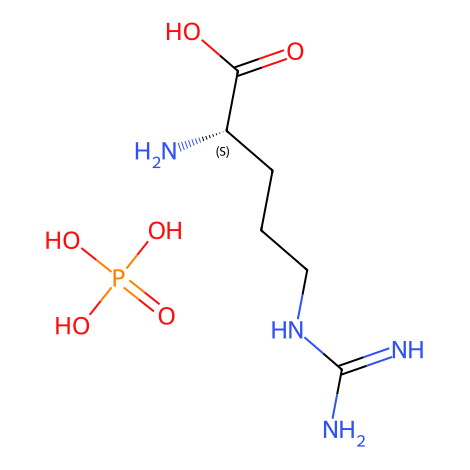 N=C(N)NCCC[C@H](N)C(=O)O.O=P(O)(O)O